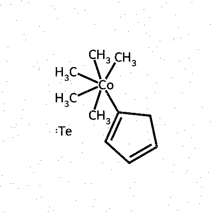 [CH3][Co]([CH3])([CH3])([CH3])([CH3])[C]1=CC=CC1.[Te]